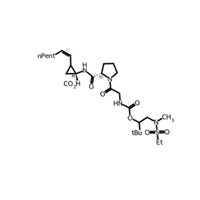 CCCCC/C=C\C1C[C@]1(NC(=O)[C@@H]1CCCN1C(=O)CNC(=O)OC(CN(C)S(=O)(=O)CC)C(C)(C)C)C(=O)O